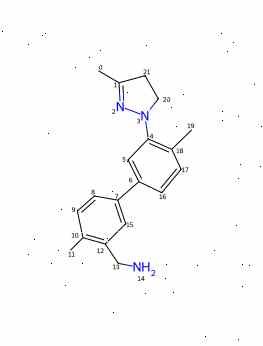 CC1=NN(c2cc(-c3ccc(C)c(CN)c3)ccc2C)CC1